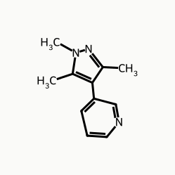 Cc1nn(C)c(C)c1-c1cccnc1